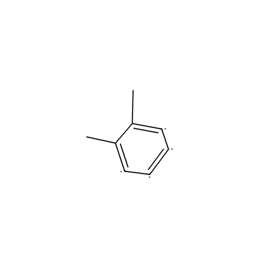 Cc1[c][c][c][c]c1C